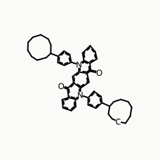 O=c1c2ccccc2n(-c2ccc(C3CCCCCCCCC3)cc2)c2cc3c(=O)c4ccccc4n(-c4ccc(C5CCCCCCCCC5)cc4)c3cc12